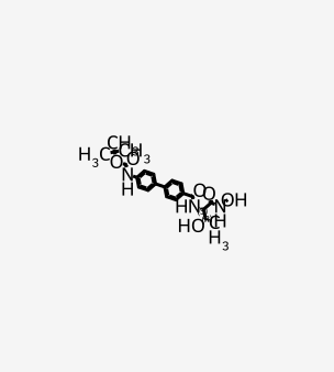 C[C@@H](O)[C@H](NC(=O)c1ccc(-c2ccc(NC(=O)OC(C)(C)C)cc2)cc1)C(=O)NO